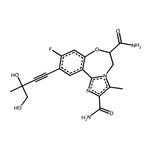 Cc1c(C(N)=O)nc2n1CC(C(N)=O)Oc1cc(F)c(C#CC(C)(O)CO)cc1-2